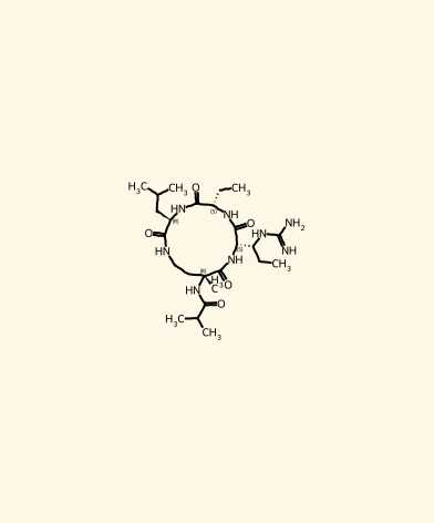 CCC(NC(=N)N)[C@@H]1NC(=O)[C@](C)(NC(=O)C(C)C)CCNC(=O)[C@@H](CC(C)C)NC(=O)[C@H](CC)NC1=O